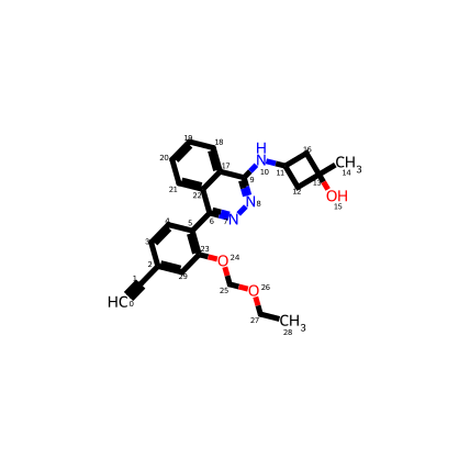 C#Cc1ccc(-c2nnc(NC3CC(C)(O)C3)c3ccccc23)c(OCOCC)c1